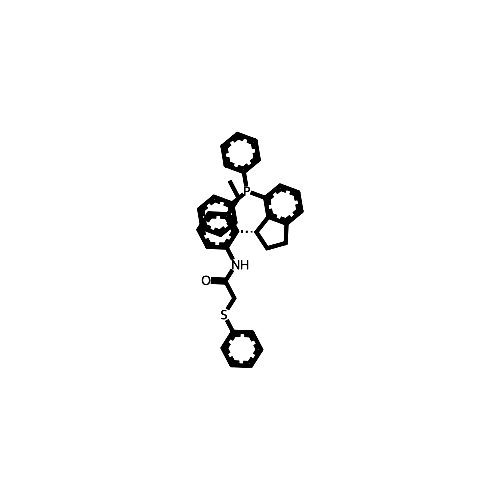 CCc1cccc(NC(=O)CSc2ccccc2)c1[C@H]1CCc2cccc(P(c3ccccc3)c3ccccc3)c21